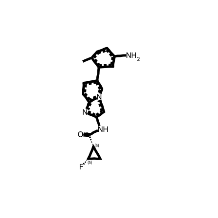 Cc1ccc(N)cc1-c1ccc2nc(NC(=O)[C@@H]3C[C@@H]3F)cn2c1